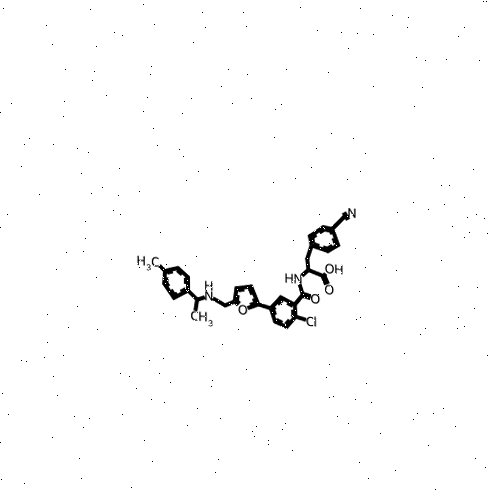 Cc1ccc(C(C)NCc2ccc(-c3ccc(Cl)c(C(=O)NC(Cc4ccc(C#N)cc4)C(=O)O)c3)o2)cc1